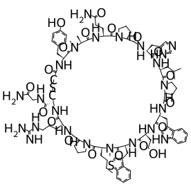 CCCC[C@H]1C(=O)N2CCC[C@@H]2C(=O)N[C@@H](CCCNC(=N)N)C(=O)N[C@H](C(=O)NCC(N)=O)CSCC(=O)N[C@@H](Cc2ccc(O)cc2)C(=O)N(C)[C@@H](C)C(=O)N[C@@H](CCC(N)=O)C(=O)N2CCC[C@H]2C(=O)N[C@@H](Cc2cnc[nH]2)C(=O)N[C@@H](CC(C)C)C(=O)N2CCC[C@H]2C(=O)N[C@@H](Cc2c[nH]c3ccccc23)C(=O)N[C@@H](CCO)C(=O)N[C@@H](Cc2csc3ccccc23)C(=O)N1C